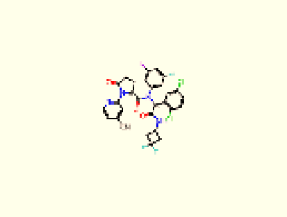 N#Cc1ccnc(N2C(=O)CC[C@H]2C(=O)N(c2cc(F)cc(I)c2)[C@H](C(=O)NC2CC(F)(F)C2)c2cc(Cl)ccc2Cl)c1